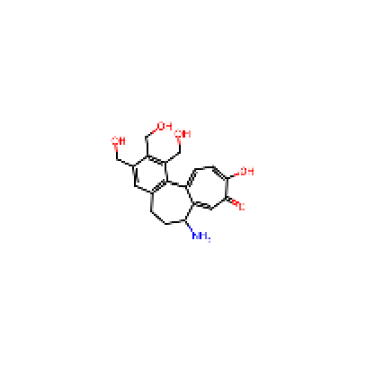 NC1CCc2cc(CO)c(CO)c(CO)c2-c2ccc(O)c(=O)cc21